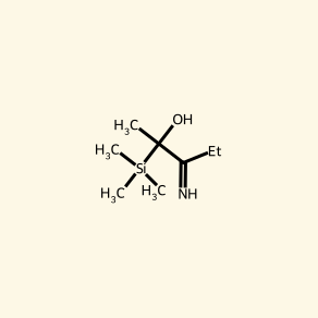 CCC(=N)C(C)(O)[Si](C)(C)C